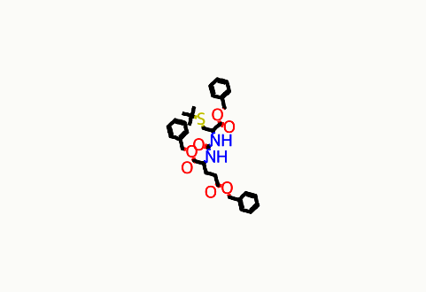 CC(C)(C)SCC(NC(=O)NC(CCC(=O)OCc1ccccc1)C(=O)OCc1ccccc1)C(=O)OCc1ccccc1